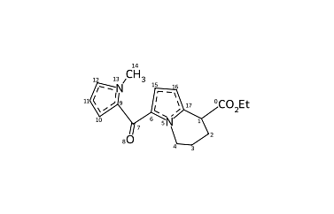 CCOC(=O)C1CCCn2c(C(=O)c3cccn3C)ccc21